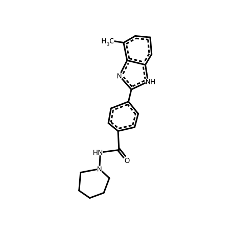 Cc1cccc2[nH]c(-c3ccc(C(=O)NN4CCCCC4)cc3)nc12